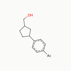 CC(=O)c1ccc(C2CCC(CO)C2)cc1